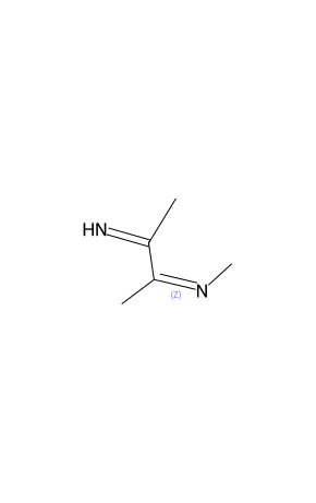 C/N=C(/C)C(C)=N